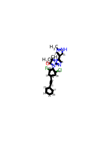 CN1C=C(c2cnc3n2C(C)(C)C(=O)N3c2c(F)cc(C#Cc3ccccc3)cc2Cl)CN1